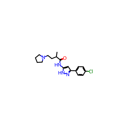 CC(CCN1CCCC1)C(=O)Nc1cc(-c2ccc(Cl)cc2)n[nH]1